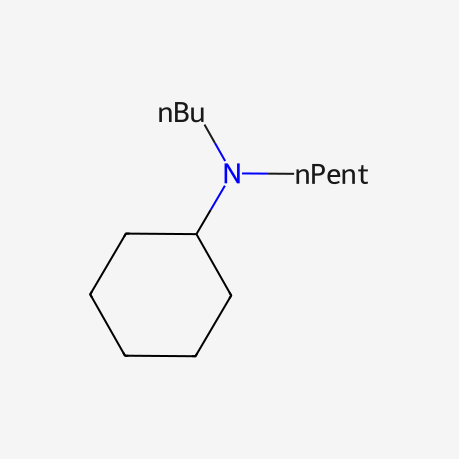 CCCCCN(CCCC)C1CCCCC1